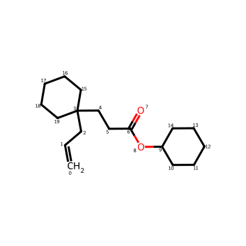 C=CCC1(CCC(=O)OC2CCCCC2)CCCCC1